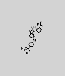 Cc1nc2ccc(NC3CCC(C(C)CO)CC3)nn2c1-c1cccc(C(F)(F)F)c1